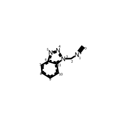 C#[N+]Cn1nnc2ccccc21